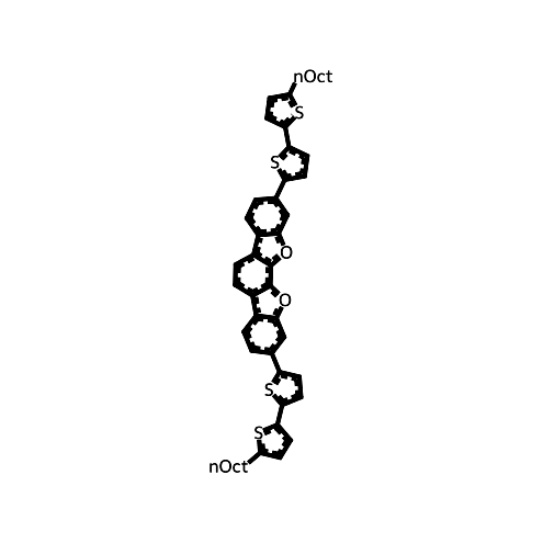 CCCCCCCCc1ccc(-c2ccc(-c3ccc4c(c3)oc3c4ccc4c5ccc(-c6ccc(-c7ccc(CCCCCCCC)s7)s6)cc5oc43)s2)s1